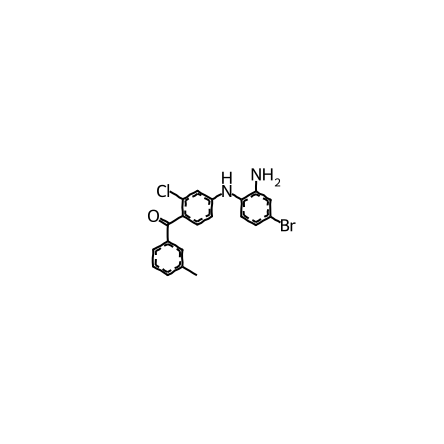 Cc1cccc(C(=O)c2ccc(Nc3ccc(Br)cc3N)cc2Cl)c1